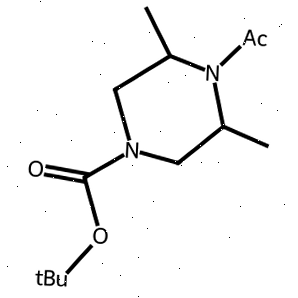 CC(=O)N1C(C)CN(C(=O)OC(C)(C)C)CC1C